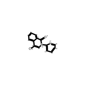 O=c1c2ccccc2c(Cl)cn1-c1ccccn1